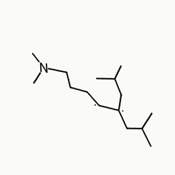 CC(C)C[C]([CH]CCCN(C)C)CC(C)C